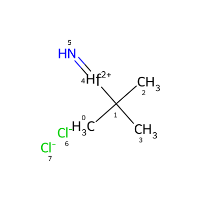 C[C](C)(C)[Hf+2]=[NH].[Cl-].[Cl-]